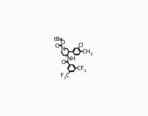 Cc1ccc(C2CN(C(=O)OC(C)(C)C)CC[C@H]2NC(=O)c2cc(C(F)(F)F)cc(C(F)(F)F)c2)cc1Cl